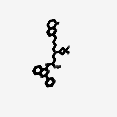 O=C(O)C(CCN(CCCCc1ccc2c(n1)NCCC2)C1CC(F)(F)C1)Nc1nc(-c2cccnc2)nc2ccccc12